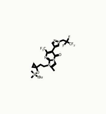 Cc1cn2c(=O)c(-c3cnn(CC(F)(F)C(F)(F)F)c3)c(C(F)(F)F)nc2n1CCC1(O[Si](C)(C)C(C)(C)C)CC1